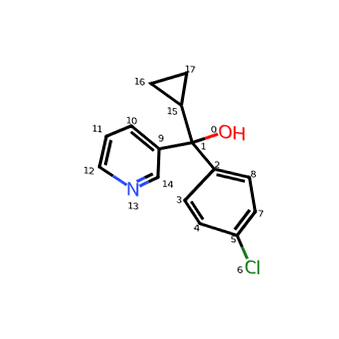 OC(c1ccc(Cl)cc1)(c1cccnc1)C1CC1